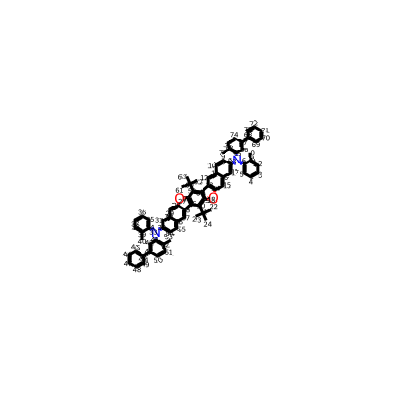 Cc1ccccc1N(c1ccc2cc3c(cc2c1)oc1c(C(C)(C)C)c2c(oc4cc5cc(N(c6ccccc6C)c6cc(-c7ccccc7)ccc6C)ccc5cc42)c(C(C)(C)C)c13)c1cc(-c2ccccc2)ccc1C